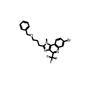 Cn1c(CCCOCc2ccccc2)nc2c(C(F)(F)F)nc3cc(Br)ccc3c21